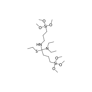 CCSC(CCC[Si](OC)(OC)OC)(NCCC[Si](OC)(OC)OC)N(CC)CC